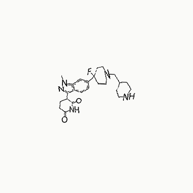 Cn1nc(C2CCC(=O)NC2=O)c2ccc(C3(F)CCN(CC4CCNCC4)CC3)cc21